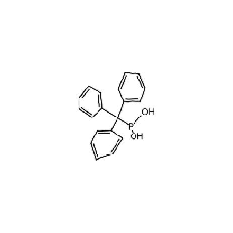 OP(O)C(c1ccccc1)(c1ccccc1)c1ccccc1